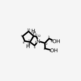 OCC(CO)N1C[C@H]2CCC[C@H]2C1